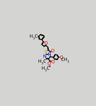 CCOC(=O)C1=C(C)N=c2s/c(=C\c3ccc(-c4cccc(C)c4)o3)c(=O)n2C1c1ccc(OC)cc1